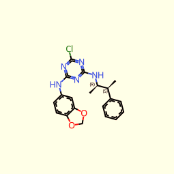 C[C@@H](Nc1nc(Cl)nc(Nc2ccc3c(c2)OCO3)n1)[C@@H](C)c1ccccc1